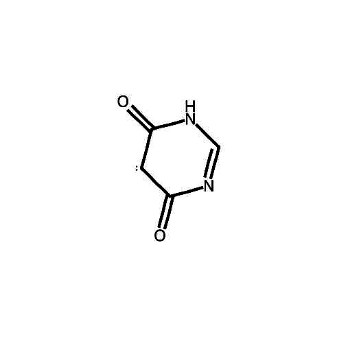 O=C1[C]C(=O)NC=N1